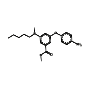 CCCCCN(C)c1cc(Oc2ccc(N)cc2)cc(C(=O)OC)c1